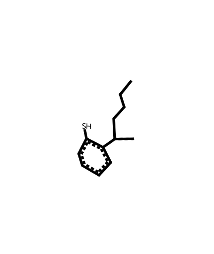 CCCCC(C)c1ccccc1S